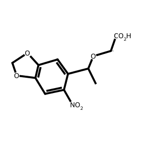 CC(O[CH]C(=O)O)c1cc2c(cc1[N+](=O)[O-])OCO2